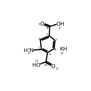 Nc1cc(C(=O)O)ccc1C(=O)O.[KH]